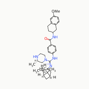 COc1ccc2c(c1)CCC(NC(=O)c1ccc(N/C(=N/[C@H]3C[C@H]4C[C@@H]([C@@H]3C)C4(C)C)N3CCN[C@@H](C)C3)cc1)C2